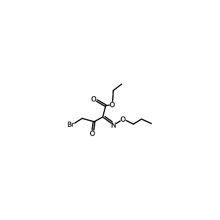 CCCO/N=C(/C(=O)CBr)C(=O)OCC